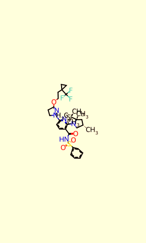 C[C@@H]1CN(c2nc(N3CCC(OCCC4(C(F)(F)F)CC4)=N3)ccc2C(=O)NS(=O)(=O)c2ccccc2)[C@](C)([Si](C)(C)C)C1